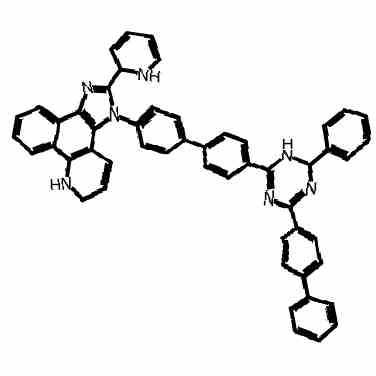 C1=CNC(c2nc3c4ccccc4c4c(c3n2-c2ccc(-c3ccc(C5=NC(c6ccc(-c7ccccc7)cc6)=NC(c6ccccc6)N5)cc3)cc2)C=CCN4)C=C1